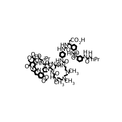 CCCNC(=O)Nc1cccc(S(=O)(=O)Nc2cccc([C@H](CC(=O)O)NC(=O)Nc3ccc(NC(=O)NCCN(C)CCN(C)CCN(C)CC(=O)N[C@@H](CC(N)=O)C(=O)N4CCC[C@H]4C(=O)N[C@H](C(=O)O[C@]4(CC)C(=O)OCc5c4cc4n(c5=O)Cc5cc6cc7c(cc6nc5-4)OCO7)C(C)C)cc3)c2)c1